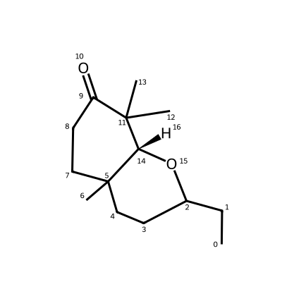 CCC1CCC2(C)CCC(=O)C(C)(C)[C@@H]2O1